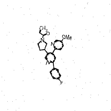 C=CC(=O)N1CCC(c2cnc(-c3ccc(F)cc3)cc2-c2ccc(OC)cn2)C1